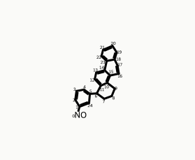 O=Nc1cccc(C2CCCc3c2ccc2c3ccc3ccccc32)c1